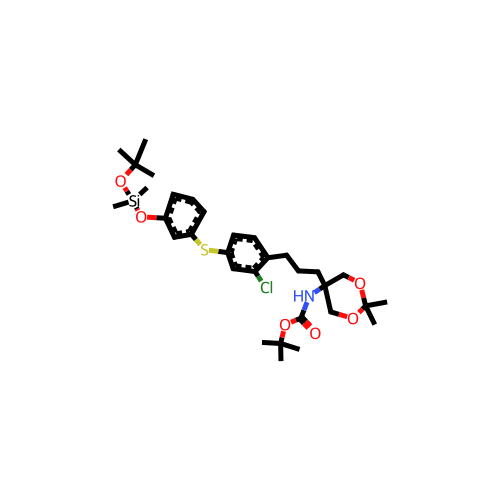 CC(C)(C)OC(=O)NC1(CCCc2ccc(Sc3cccc(O[Si](C)(C)OC(C)(C)C)c3)cc2Cl)COC(C)(C)OC1